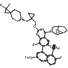 C#Cc1c(F)ccc2cc(O)cc(-c3c(OC)cc4c(N5CC6CCC(C5)N6)nc(OCC5(CN6CCC7(CC6)CC7(F)F)CC5)nc4c3F)c12